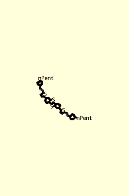 CCCCCc1ccc(/C=C/c2ccc(-c3ccc4c(c3)sc3c5ccc(-c6ccc(/C=C/c7ccc(CCCCC)cc7)s6)cc5sc43)s2)cc1